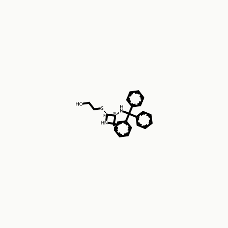 O=C1N[C@H](SCCO)[C@@H]1NC(c1ccccc1)(c1ccccc1)c1ccccc1